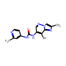 Cc1cn2ncc(NC(=O)Nc3ccnc(C(F)(F)F)c3)c(C(C)C)c2n1